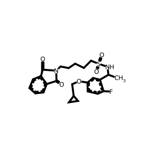 CC(NS(=O)(=O)CCCCCN1C(=O)c2ccccc2C1=O)c1cc(OCC2CC2)ccc1F